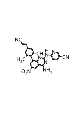 Cc1cc(/C=C/C#N)cc(C)c1-c1cc([N+](=O)[O-])cc2c(N)nc(Nc3ccc(C#N)cn3)nc12